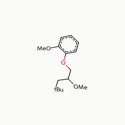 COc1ccccc1OCC(CC(C)(C)C)OC